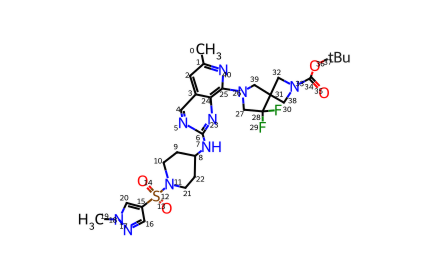 Cc1cc2cnc(NC3CCN(S(=O)(=O)c4cnn(C)c4)CC3)nc2c(N2CC(F)(F)C3(CN(C(=O)OC(C)(C)C)C3)C2)n1